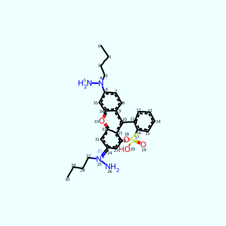 CCCCN(N)c1ccc2c(-c3ccccc3S(=O)(=O)O)c3cc/c(=[N+](\N)CCCC)cc-3oc2c1